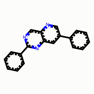 c1ccc(-c2cnc3cnc(-c4ccccc4)nc3c2)cc1